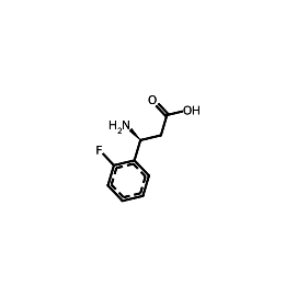 N[C@@H](CC(=O)O)c1ccccc1F